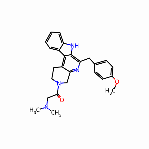 COc1ccc(Cc2nc3c(c4c2[nH]c2ccccc24)CCN(C(=O)CN(C)C)C3)cc1